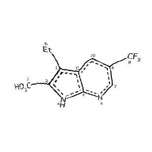 CCc1c(C(=O)O)[nH]c2ncc(C(F)(F)F)cc12